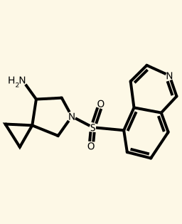 NC1CN(S(=O)(=O)c2cccc3cnccc23)CC12CC2